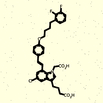 O=C(O)CCCc1cn(CC(=O)O)c2c(/C=C/c3ccc(OCCCCc4cccc(F)c4F)cc3)cc(Cl)cc12